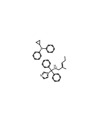 CCC=C(C)C[SiH2]C(c1ccccc1)(c1ccccc1)n1ccnc1.c1ccc(B(c2ccccc2)C2CC2)cc1